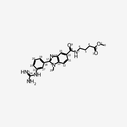 COC(=O)CCCNC(=O)c1ccc2c(c1)nc(-c1cccc(NC(=N)N)c1)n2C